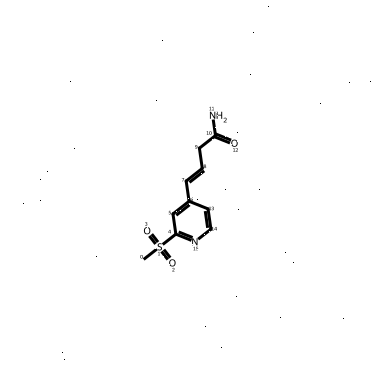 CS(=O)(=O)c1cc(C=CCC(N)=O)ccn1